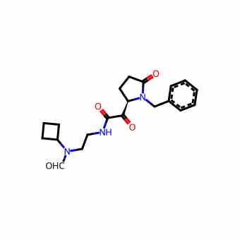 O=CN(CCNC(=O)C(=O)[C@H]1CCC(=O)N1Cc1ccccc1)C1CCC1